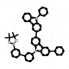 CC1(C)OB(c2cccc(-c3cccc(-n4c5ccc(-c6ccccc6)cc5c5cc(-c6ccc7c(c6)c6ccccc6n7-c6ccccc6)ccc54)c3)c2)OC1(C)C